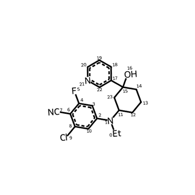 CCN(c1cc(F)c(C#N)c(Cl)c1)C1CCCC(O)(c2cccnc2)C1